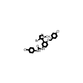 Cn1ncc(Br)c1-c1cc(NC(=O)Nc2ccc(Cl)cc2)ccc1OCc1ccc(Cl)cc1